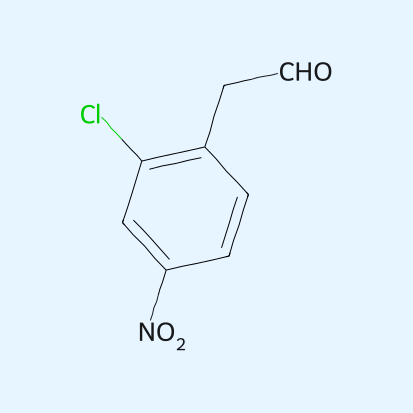 O=CCc1ccc([N+](=O)[O-])cc1Cl